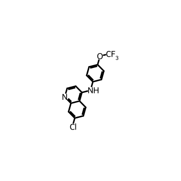 FC(F)(F)Oc1ccc(Nc2ccnc3cc(Cl)ccc23)cc1